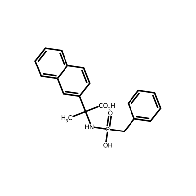 CC(NP(=O)(O)Cc1ccccc1)(C(=O)O)c1ccc2ccccc2c1